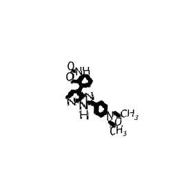 C[C@@H]1CN(c2ccc(-c3nc4c(-c5cccc6c5COC(=O)N6)ccnc4[nH]3)cc2)C[C@H](C)O1